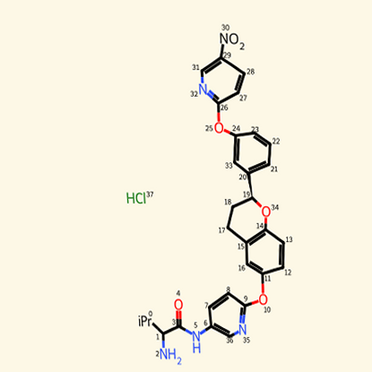 CC(C)C(N)C(=O)Nc1ccc(Oc2ccc3c(c2)CC[C@@H](c2cccc(Oc4ccc([N+](=O)[O-])cn4)c2)O3)nc1.Cl